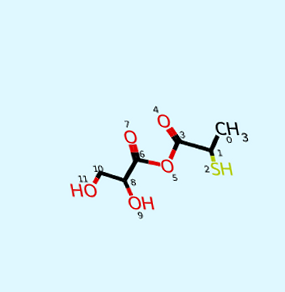 CC(S)C(=O)OC(=O)C(O)CO